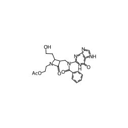 CC(=O)OCCN1C(=O)C(CN(C(=O)c2ccccc2)c2nc3nc[nH]c3c(=O)[nH]2)C1CCO